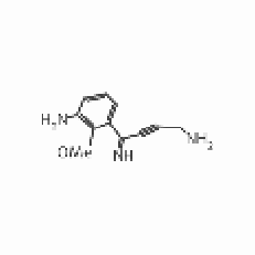 COc1c(N)cccc1C(=N)C#CCN